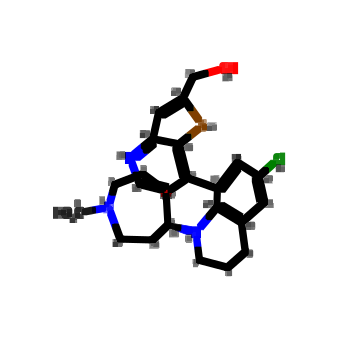 O=C(O)N1CCC[C@@H](N2CCCc3cc(Cl)cc(-c4ccnc5cc(CO)sc45)c32)CC1